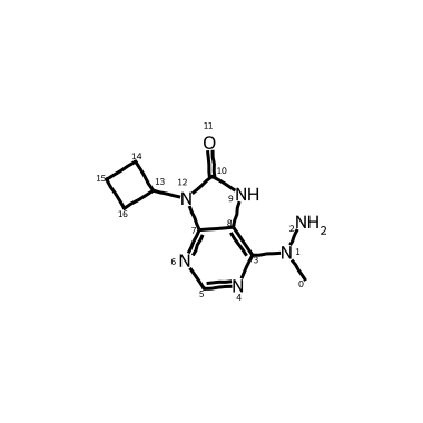 CN(N)c1ncnc2c1[nH]c(=O)n2C1CCC1